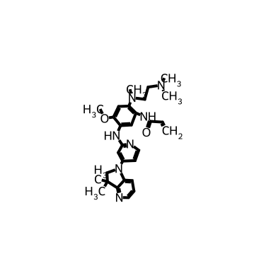 C=CC(=O)Nc1cc(Nc2cc(N3CC(C)(C)c4ncccc43)ccn2)c(OC)cc1N(C)CCN(C)C